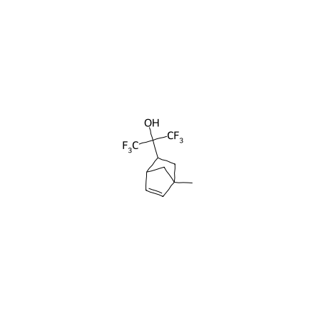 CC12C=CC(C1)C(C(O)(C(F)(F)F)C(F)(F)F)C2